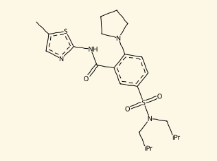 Cc1cnc(NC(=O)c2cc(S(=O)(=O)N(CC(C)C)CC(C)C)ccc2N2CCCC2)s1